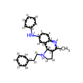 Cc1nc2ccc(Nc3ccccc3)cc2c2c1CCN2CCc1ccccc1